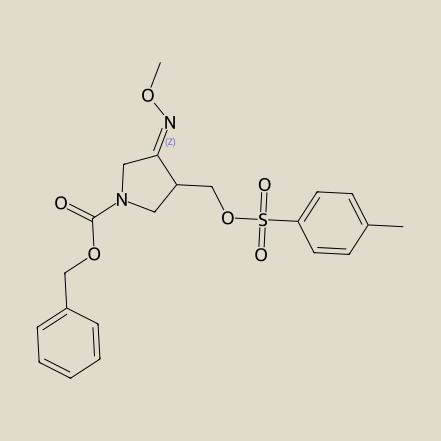 CO/N=C1\CN(C(=O)OCc2ccccc2)CC1COS(=O)(=O)c1ccc(C)cc1